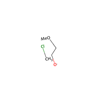 CCl.COCC[O]